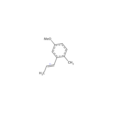 C/C=C/c1cc(OC)ccc1C